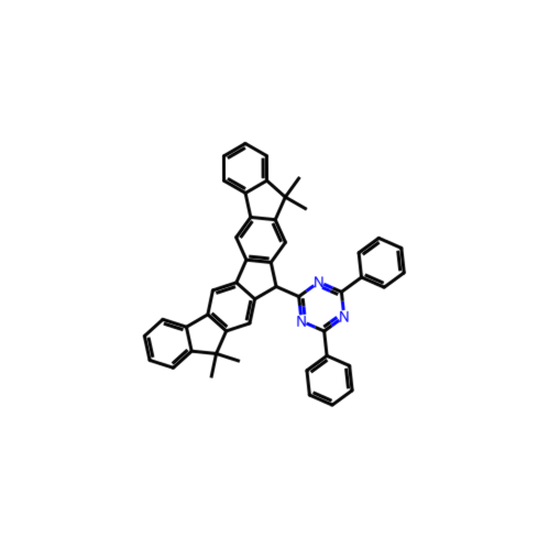 CC1(C)c2ccccc2-c2cc3c(cc21)C(c1nc(-c2ccccc2)nc(-c2ccccc2)n1)c1cc2c(cc1-3)-c1ccccc1C2(C)C